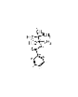 CC(C)(C)C(C)(C)SC(=S)c1ccccc1